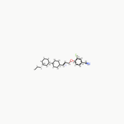 CCC[C@@H]1CCC[C@@H](C2CCC(/C=C/COc3ccc(C#N)cc3F)CC2)C1